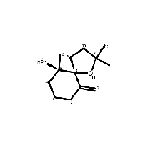 C=C1CCC[C@@](C)(CCC)[C@@]12CCC(C)(C)O2